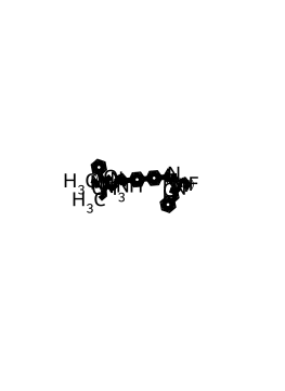 CCCN(Cc1ncc(-c2ccc(-c3ccc(-c4cnc([C@@H]5C[C@H](F)CN5C(=O)Cc5ccccc5)[nH]4)cc3)cc2)[nH]1)C(=O)[C@@H](c1ccccc1)N(C)C